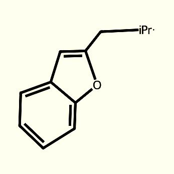 C[C](C)Cc1cc2ccccc2o1